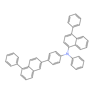 c1ccc(-c2cccc3cc(-c4ccc(N(c5ccccc5)c5ccc(-c6ccccc6)c6ccccc56)cc4)ccc23)cc1